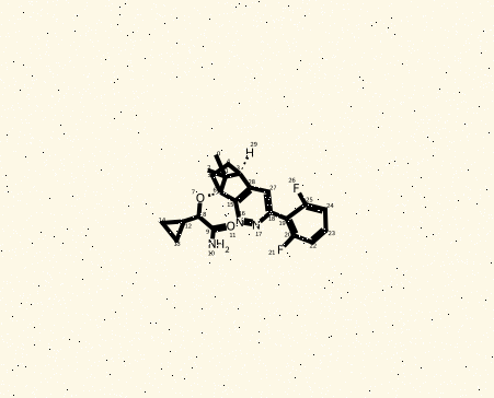 CC1(C)[C@H]2CC[C@]1(OC(C(N)=O)C1CC1)c1nnc(-c3c(F)cccc3F)cc12